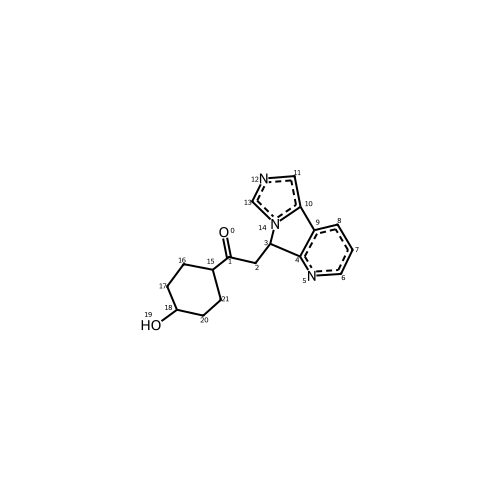 O=C(CC1c2ncccc2-c2cncn21)C1CCC(O)CC1